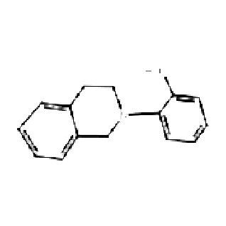 Cc1ccccc1N1CCc2ccccc2C1